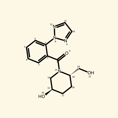 O=C(c1ccccc1-n1nccn1)N1C[C@H](O)CC[C@H]1CO